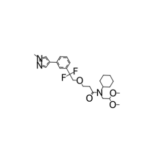 COC(CN(C(=O)CCOCC(F)(F)c1cccc(-c2cnn(C)c2)c1)C1CCCCC1)OC